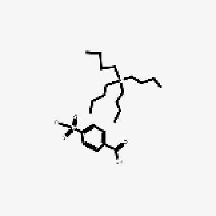 CCCC[P+](CCCC)(CCCC)CCCC.O=C(O)c1ccc(S(=O)(=O)[O-])cc1